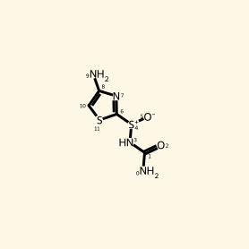 NC(=O)N[S+]([O-])c1nc(N)cs1